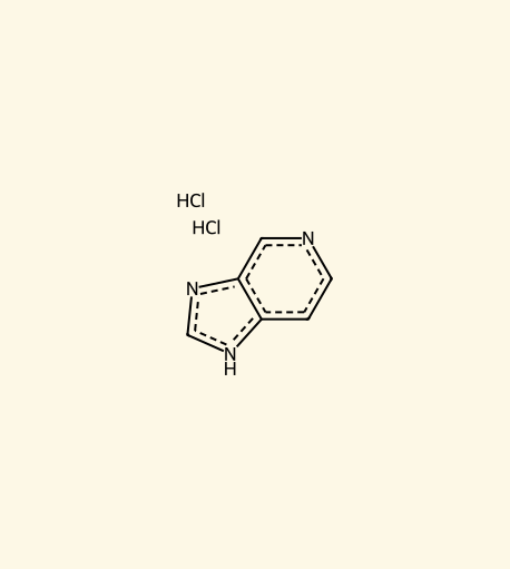 Cl.Cl.c1cc2[nH]cnc2cn1